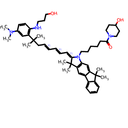 CN(C)c1ccc(NCCCO)c(C(C)(C)C/C=C/C=C/C=C2/N(CCCCCC(=O)N3CCC(O)CC3)c3cc4c(cc3C2(C)C)-c2ccccc2C4(C)C)c1